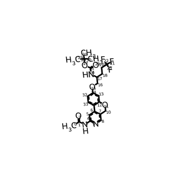 CC(=O)Nc1cc2c(cn1)COc1cc(OCC(CCC(F)(F)F)NC(=O)OC(C)(C)C)ccc1-2